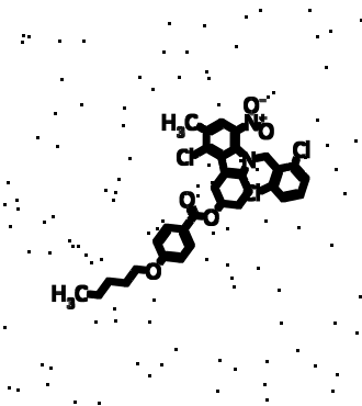 CCCCCOc1ccc(C(=O)OC2CCc3c(c4c(Cl)c(C)cc([N+](=O)[O-])c4n3Cc3c(Cl)cccc3Cl)C2)cc1